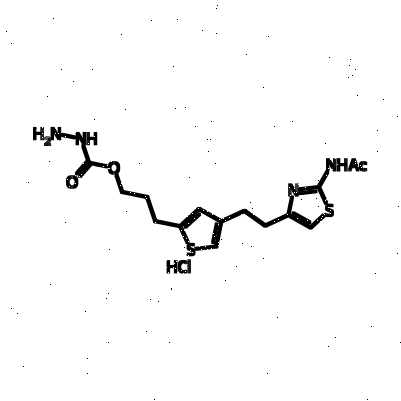 CC(=O)Nc1nc(CCc2csc(CCCOC(=O)NN)c2)cs1.Cl